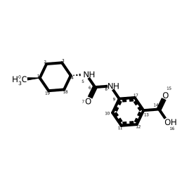 C[C@H]1CC[C@H](NC(=O)Nc2cccc(C(=O)O)c2)CC1